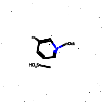 CCCCCCCC[n+]1cccc(CC)c1.CS(=O)(=O)O